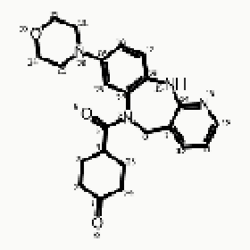 O=C1CCC(C(=O)N2Cc3cccnc3Nc3ccc(N4CCOCC4)cc32)CC1